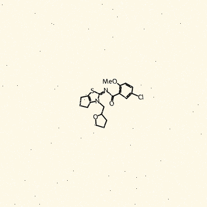 COc1ccc(Cl)cc1C(=O)N=c1sc2c(n1CC1CCCO1)CCC2